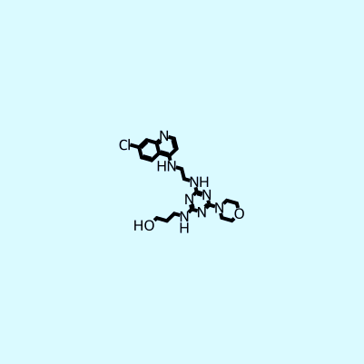 OCCCNc1nc(NCCNc2ccnc3cc(Cl)ccc23)nc(N2CCOCC2)n1